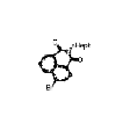 CCCCCCCN1C(=O)c2cccc3c(Br)ccc(c23)C1=O